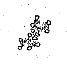 c1ccc([Si](c2ccccc2)(c2cccc(-c3nc(-n4c5ccccc5n5c6ccccc6nc45)nc(-n4c5ccccc5n5c6ccccc6nc45)n3)c2)c2cccc(-c3nc(-n4c5ccccc5n5c6ccccc6nc45)nc(-n4c5ccccc5n5c6ccccc6nc45)n3)c2)cc1